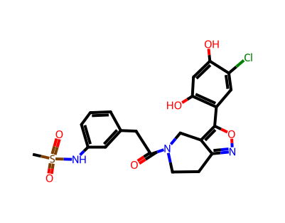 CS(=O)(=O)Nc1cccc(CC(=O)N2CCc3noc(-c4cc(Cl)c(O)cc4O)c3C2)c1